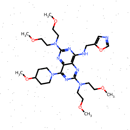 COCCN(CCOC)c1nc(N2CCC(OC)CC2)c2nc(N(CCOC)CCOC)nc(NCc3cnco3)c2n1